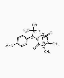 COc1ccc([C@@H]2N3C(=O)[C@]4(C)SS[C@@]3(C[C@]2(C)C#N)C(=O)N4C)cc1